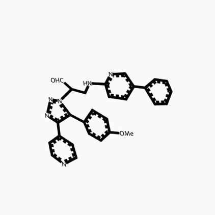 COc1ccc(-c2c(-c3ccncc3)nnn2C(C=O)CNc2ccc(-c3ccccc3)cn2)cc1